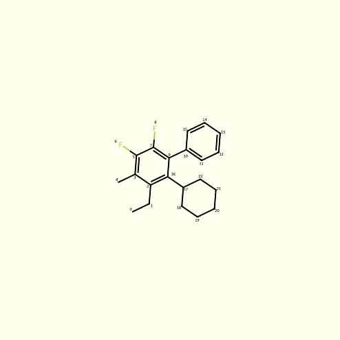 CCc1c(C)c(F)c(F)c(-c2ccccc2)c1C1CCCCC1